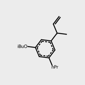 C=C[C](C)c1cc(CCC)cc(OCC(C)C)c1